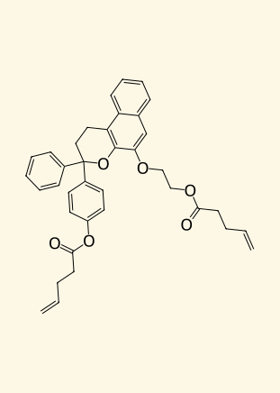 C=CCCC(=O)OCCOc1cc2ccccc2c2c1OC(c1ccccc1)(c1ccc(OC(=O)CCC=C)cc1)CC2